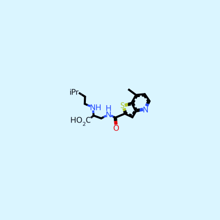 Cc1ccnc2cc(C(=O)NCC(NCCC(C)C)C(=O)O)sc12